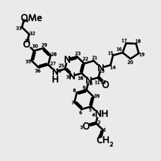 C=CC(=O)Nc1cccc(N2C(=O)N(CCC3CCCC3)Cc3cnc(Nc4ccc(OCCOC)cc4)nc32)c1